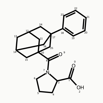 O=C(O)C1CCCN1C(=O)C12CC3CC(C1)CC(c1ccccc1)(C3)C2